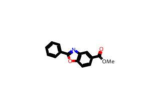 COC(=O)c1ccc2oc(-c3ccccc3)nc2c1